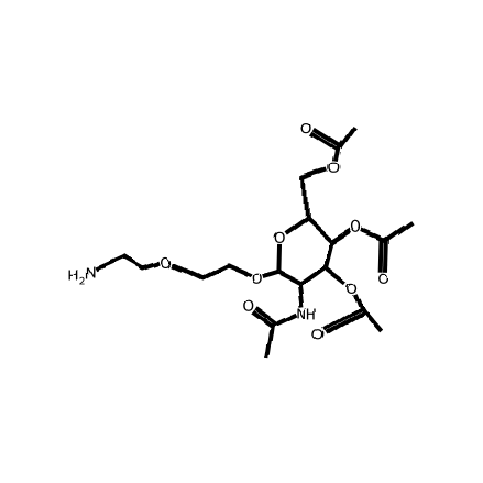 CC(=O)NC1C(OCCOCCN)OC(COC(C)=O)C(OC(C)=O)C1OC(C)=O